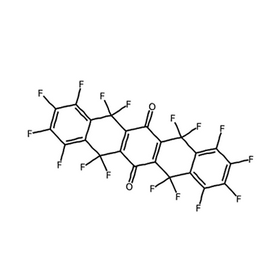 O=C1C2=C(C(=O)C3=C1C(F)(F)c1c(F)c(F)c(F)c(F)c1C3(F)F)C(F)(F)c1c(F)c(F)c(F)c(F)c1C2(F)F